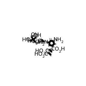 C=CC(=O)O.C=CC(=O)O.C=CC(=O)O.Nc1cc(N)cc(C(=O)O)c1.OCC(CO)(CO)CO